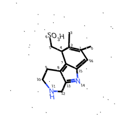 CC1=C(C)C(CS(=O)(=O)O)C2=C3CCNCC3=NC2=C1